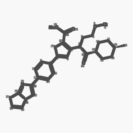 CCOCCN(c1cc(-c2ccc(-c3cn4ccsc4n3)cc2)sc1C(=O)OC)C(=O)[C@H]1CC[C@H](C)CC1